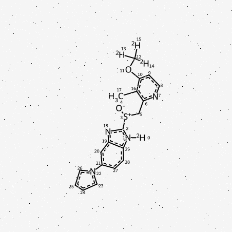 [2H]n1c([S+]([O-])Cc2nccc(OC([2H])([2H])[2H])c2C)nc2cc(-n3cccc3)ccc21